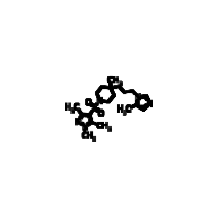 Cc1nn(C)c(C)c1S(=O)(=O)N1CCC(C)(CCCn2cncc2C)CC1